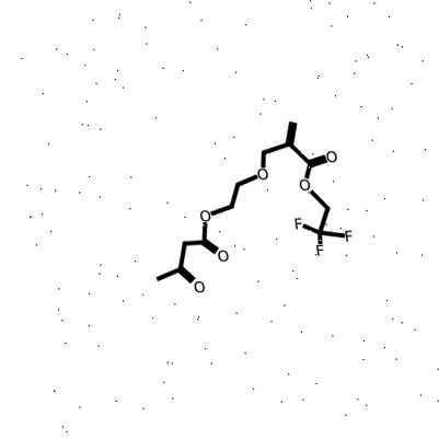 C=C(COCCOC(=O)CC(C)=O)C(=O)OCC(F)(F)F